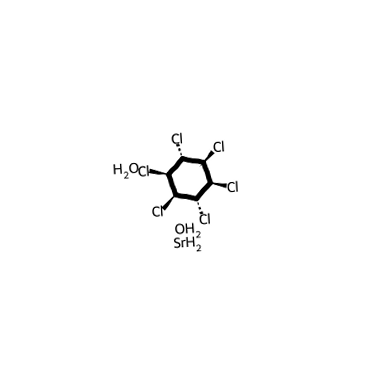 Cl[C@H]1[C@H](Cl)[C@@H](Cl)[C@@H](Cl)[C@H](Cl)[C@H]1Cl.O.O.[SrH2]